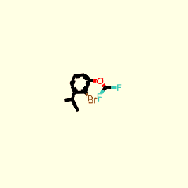 C[C](C)c1cccc(OC(F)F)c1Br